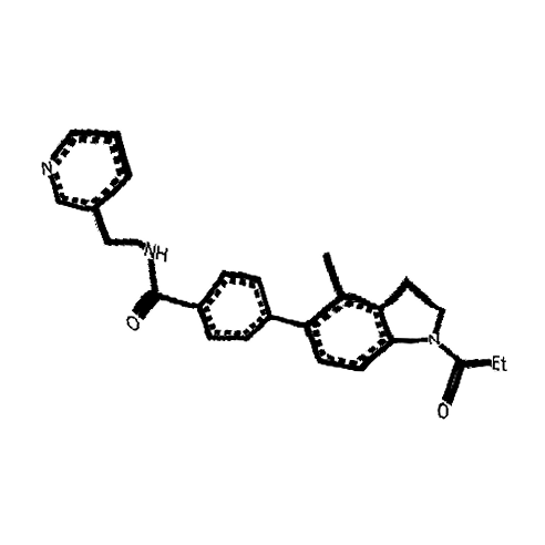 CCC(=O)N1CCc2c1ccc(-c1ccc(C(=O)NCc3cccnc3)cc1)c2C